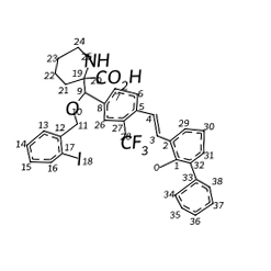 Cc1c(C=Cc2ccc(C(OCc3ccccc3I)C3(C(=O)O)CCCCN3)cc2C(F)(F)F)cccc1-c1ccccc1